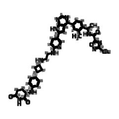 Cc1cc(-c2ncnc3[nH]c(-c4ccc(NCCN[C@H]5C[C@@H](c6ccc(N[C@H]7CCC(=O)NC7=O)cc6)C5)nc4)cc23)ccc1[C@@H](C)NC(=O)c1nc(C(C)(C)C)no1